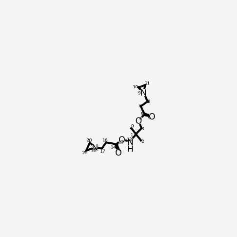 CC(C)(COC(=O)CCN1CC1)NOC(=O)CCN1CC1